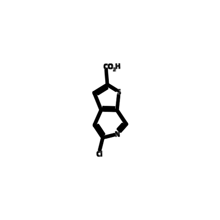 O=C(O)c1cc2cc(Cl)ncc2s1